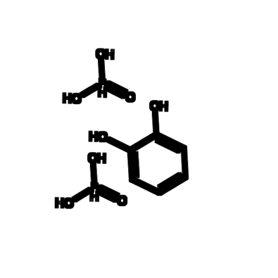 O=[PH](O)O.O=[PH](O)O.Oc1ccccc1O